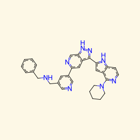 c1ccc(CNCc2cncc(-c3cc4c(-c5cc6c(N7CCCCC7)nccc6[nH]5)n[nH]c4cn3)c2)cc1